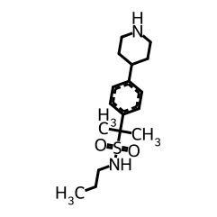 CCCNS(=O)(=O)C(C)(C)c1ccc(C2CCNCC2)cc1